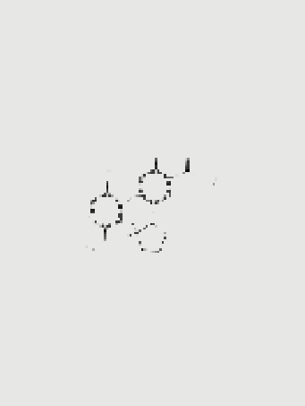 COC(=O)c1cc([C@@H]2CCCC2(C)C)c(-c2cc(OC)ncc2F)cc1F